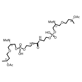 CN[C@@H](COCC[C@@H](C)OC(C)=O)COP(=O)(O)OCCNC(=O)NCCOP(=O)(O)OC[C@H](COCC[C@@H](C)OC(C)=O)NC